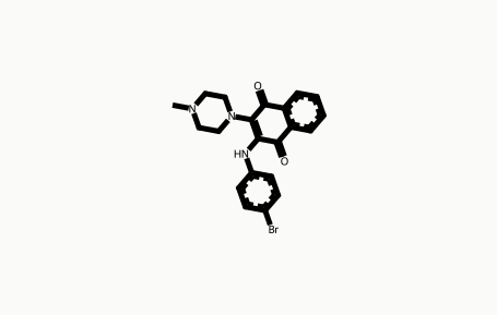 CN1CCN(C2=C(Nc3ccc(Br)cc3)C(=O)c3ccccc3C2=O)CC1